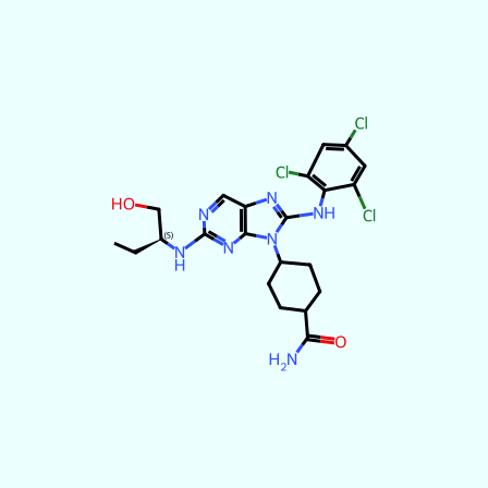 CC[C@@H](CO)Nc1ncc2nc(Nc3c(Cl)cc(Cl)cc3Cl)n(C3CCC(C(N)=O)CC3)c2n1